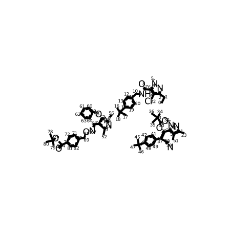 CCc1nn(C)c(C(=O)NCc2ccc(C(C)(C)C)cc2)c1Cl.Cc1nn(C)c(/C(OC(=O)C(C)(C)C)=C(\C#N)c2ccc(C(C)(C)C)cc2)c1C.Cc1nn(C)c(Oc2ccccc2)c1/C=N/OCc1ccc(C(=O)OC(C)(C)C)cc1